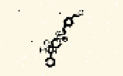 O=CCc1ccc(/C=C/S(=O)(=O)N2CCC3(CC2)N=C(C2CCCCC2)NC3=O)cc1